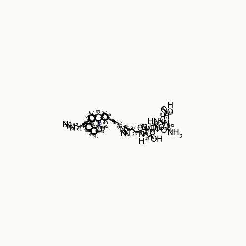 C[C@H](NC(=O)[C@H](CCC(=O)O)NC(=O)CNC(=O)[C@H](CC(=O)O)NC(=O)CCc1cn(CCC#Cc2ccc3c(c2)/C(=C2/c4c(ccc5ccccc45)C[C@H]2C)c2cc(C#CCCN=[N+]=[N-])ccc2C3)nn1)C(N)=O